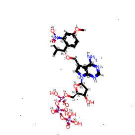 COc1ccc([C@H](OCc2cn([C@H]3CC(O)[C@@H](COP(=O)(O)OP(=O)(O)OP(=O)(O)O)O3)c3ncnc(N)c23)C(C)C)c([N+](=O)[O-])c1